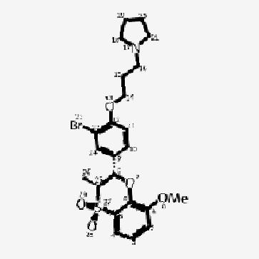 COc1cccc2c1O[C@@H](c1ccc(OCCCN3CCCC3)c(Br)c1)[C@H](C)S2(=O)=O